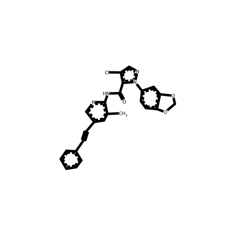 Cc1cc(C#Cc2ccccc2)cnc1NC(=O)c1c(Cl)cnn1-c1ccc2c(c1)OCO2